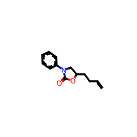 C=CCCC1CN(c2ccccc2)C(=O)O1